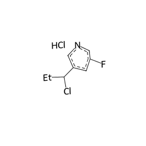 CCC(Cl)c1cncc(F)c1.Cl